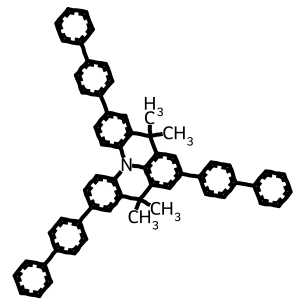 CC1(C)c2cc(-c3ccc(-c4ccccc4)cc3)ccc2N2c3ccc(-c4ccc(-c5ccccc5)cc4)cc3C(C)(C)c3cc(-c4ccc(-c5ccccc5)cc4)cc1c32